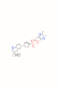 Cc1nc(C)c(CC(=O)OC(=O)c2ccc(-c3ccc4ncc(C=O)cc4c3)cc2)nc1C